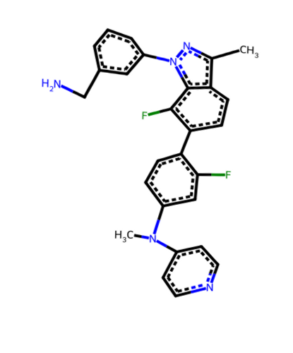 Cc1nn(-c2cccc(CN)c2)c2c(F)c(-c3ccc(N(C)c4ccncc4)cc3F)ccc12